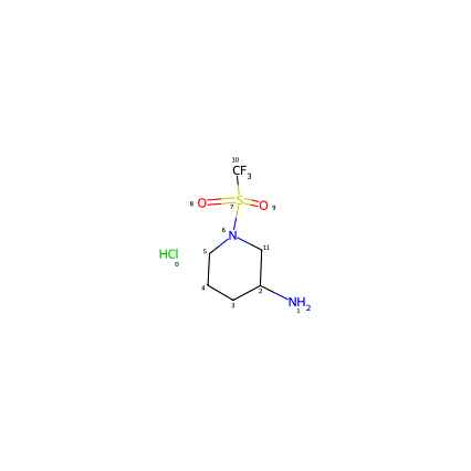 Cl.NC1CCCN(S(=O)(=O)C(F)(F)F)C1